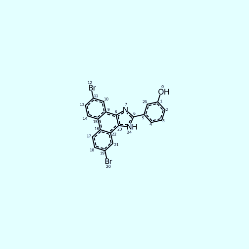 Oc1cccc(-c2nc3c4cc(Br)ccc4c4ccc(Br)cc4c3[nH]2)c1